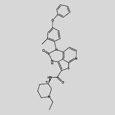 CCN1CCC[C@@H](NC(=O)c2sc3nccc4c3c2NC(=O)N4c2ccc(Oc3ccccc3)cc2C)C1